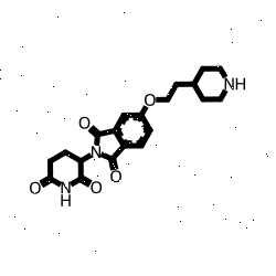 O=C1CCC(N2C(=O)c3ccc(OCCC4CCNCC4)cc3C2=O)C(=O)N1